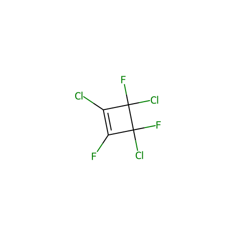 FC1=C(Cl)C(F)(Cl)C1(F)Cl